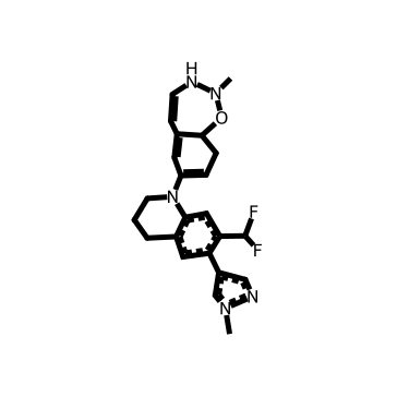 CN1NC=CC2=CC(N3CCCc4cc(-c5cnn(C)c5)c(C(F)F)cc43)=CCC2O1